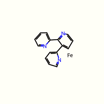 [Fe].c1ccc(-c2cccnc2-c2ccccn2)nc1